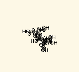 O=C(O)CCC(=O)OCC(COC(=O)CCC(=O)O)(COC(=O)CCC(=O)O)COC(=O)CCC(=O)OCC(COC(=O)CCC(=O)O)(COC(=O)CCC(=O)O)COC(=O)CCC(=O)O